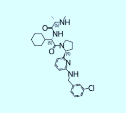 CN[C@@H](C)C(=O)N[C@H](C(=O)N1CCC[C@H]1c1cccc(NCc2cccc(Cl)c2)n1)C1CCCCC1